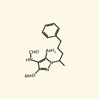 COc1nn(C(C)CCCc2ccccc2)c([AsH2])c1NC=O